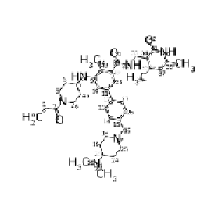 C=CC(=O)N1CCC(Nc2cc(-c3ccc(CN4CCC(N(C)C)CC4)cc3)cc(C(=O)NCc3c(C)cc(C)[nH]c3=O)c2C)CC1